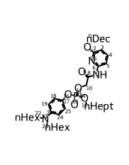 CCCCCCCCCCOc1cccc(NC(=O)COP(=O)(OCCCCCCC)Oc2ccc(N(CCCCCC)CCCCCC)cc2)n1